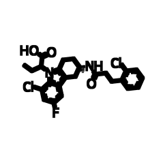 CCC(C(=O)O)n1c2c(c3cc(F)cc(Cl)c31)C[C@@H](NC(=O)CCc1ccccc1Cl)CC2